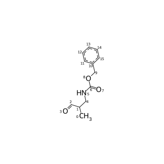 CC(C=O)CNC(=O)OCc1ccccc1